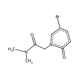 CN(C)C(=O)Cn1cc(Br)ccc1=O